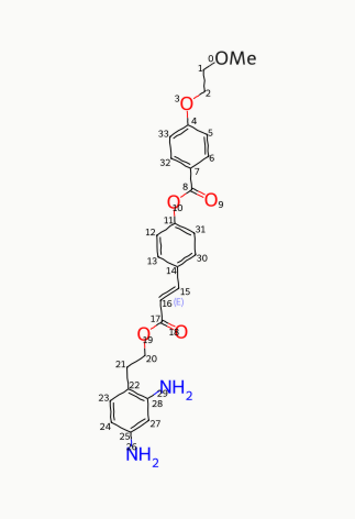 COCCOc1ccc(C(=O)Oc2ccc(/C=C/C(=O)OCCc3ccc(N)cc3N)cc2)cc1